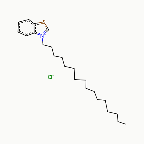 CCCCCCCCCCCCCCCC[n+]1csc2ccccc21.[Cl-]